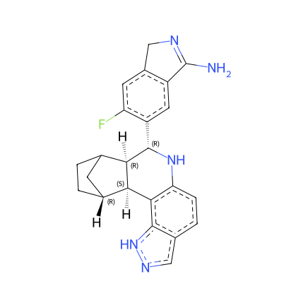 NC1=NCc2cc(F)c([C@@H]3Nc4ccc5cn[nH]c5c4[C@H]4[C@@H]5CCC(C5)[C@H]43)cc21